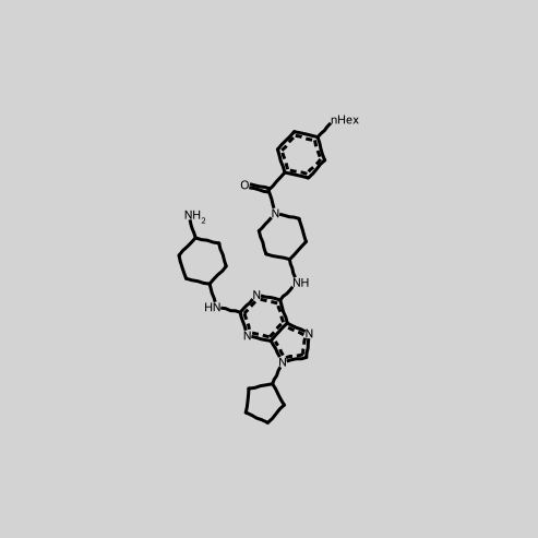 CCCCCCc1ccc(C(=O)N2CCC(Nc3nc(NC4CCC(N)CC4)nc4c3ncn4C3CCCC3)CC2)cc1